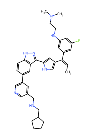 C/C=C(/c1cc(F)cc(NCCN(C)C)c1)c1c[nH]c(-c2n[nH]c3ccc(-c4cncc(CNCC5CCCC5)c4)cc23)c1